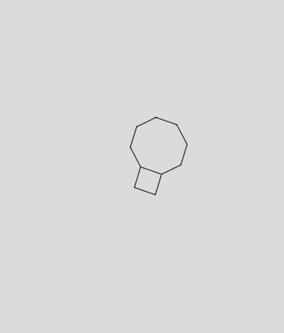 C1CCCC2CCC2CC1